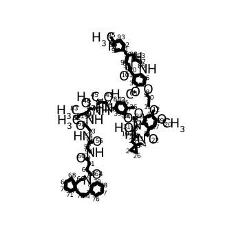 COc1cc2c(cc1OCCCOc1cc3c(cc1OC)C(=O)N1CC4(CC4)C[C@H]1C(O)N3C(=O)OCc1ccc(NC(=O)[C@H](C)NC(=O)[C@@H](NC(=O)CNC(=O)CNC(=O)CCC(=O)N3Cc4ccccc4C#Cc4ccccc43)C(C)C)cc1)NC[C@@H]1CC(c3ccc(C)nc3)=CN1C2=O